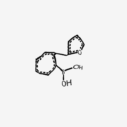 OB(O)c1ccccc1-c1ccco1